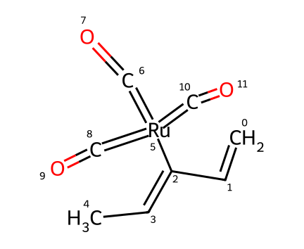 C=C[C](=CC)[Ru](=[C]=O)(=[C]=O)=[C]=O